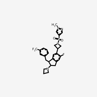 Cn1cc(S(=O)(=O)N2CC(c3cc4c(cc3F)CC(N3CCC3)C4Cc3cccc(C(F)(F)F)c3)C2)cn1